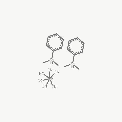 N#[C][Fe]([C]#N)([C]#N)([C]#N)([C]#N)[N]=O.[CH3][SnH]([CH3])[c]1ccccc1.[CH3][SnH]([CH3])[c]1ccccc1